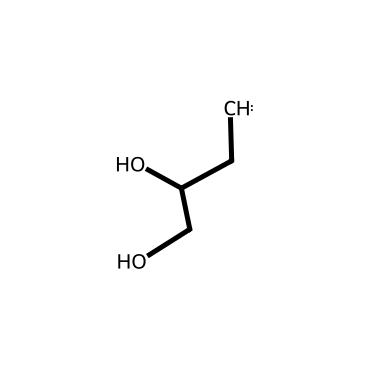 [CH]CC(O)CO